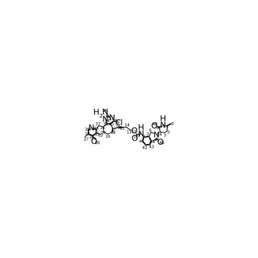 C=C1CCC(N2Cc3c(NC(=O)OCCC#CC4=CCCC(Cc5ncc(C)c(OC)c5C)c5nc(N)nc(Cl)c54)cccc3C2=O)C(=O)N1